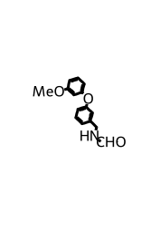 COc1cccc(Oc2cccc(CN[C]=O)c2)c1